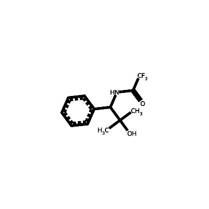 CC(C)(O)C(NC(=O)C(F)(F)F)c1ccccc1